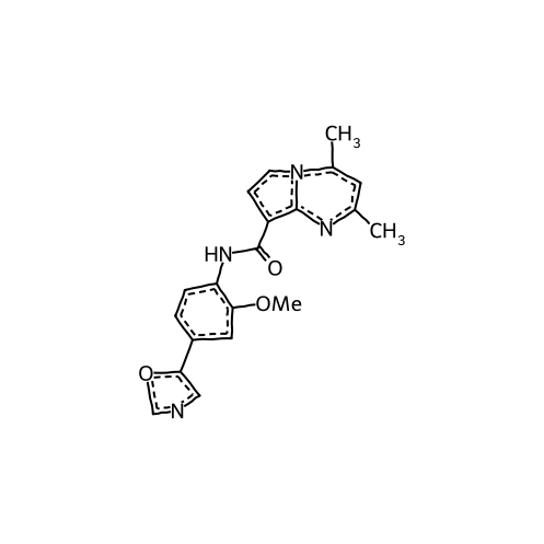 COc1cc(-c2cnco2)ccc1NC(=O)c1ccn2c(C)cc(C)nc12